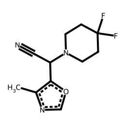 Cc1ncoc1C(C#N)N1CCC(F)(F)CC1